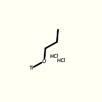 CCC[O][Ti].Cl.Cl